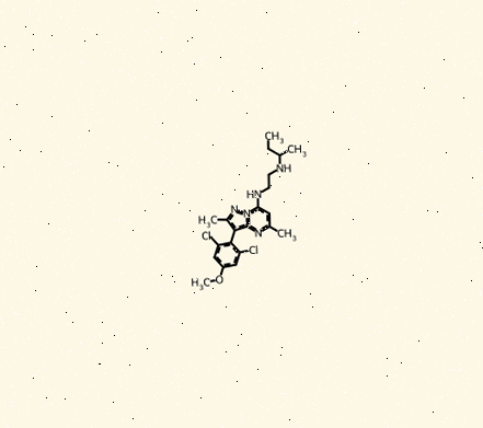 CCC(C)NCCNc1cc(C)nc2c(-c3c(Cl)cc(OC)cc3Cl)c(C)nn12